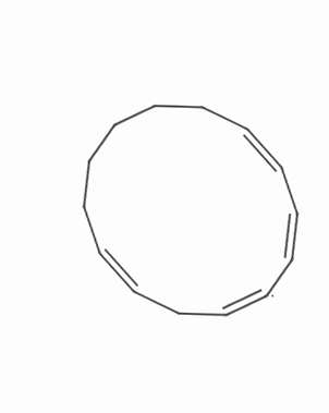 [C]1=CCC=CCCCCCC=CC=C1